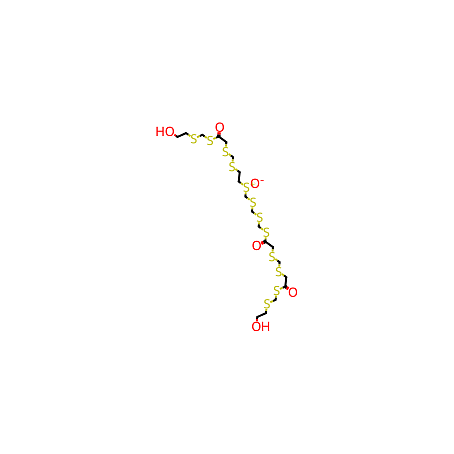 O=C(CSCSCC[S+]([O-])CSCSCSC(=O)CSCSCC(=O)SCSCCO)SCSCCO